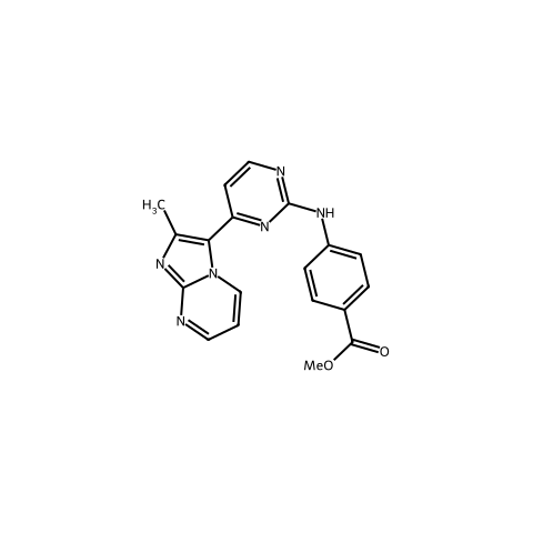 COC(=O)c1ccc(Nc2nccc(-c3c(C)nc4ncccn34)n2)cc1